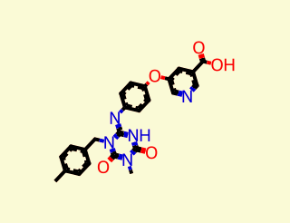 Cc1ccc(Cn2c(=O)n(C)c(=O)[nH]/c2=N\c2ccc(Oc3cncc(C(=O)O)c3)cc2)cc1